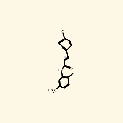 O=C(/C=C/c1ccc(Cl)cc1)Nc1cc(C(=O)O)ccc1Cl